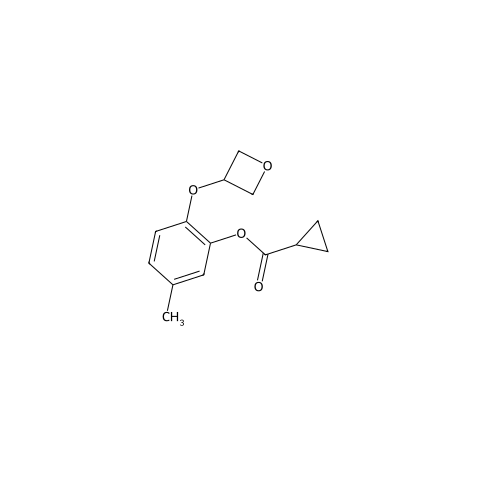 Cc1ccc(OC2COC2)c(OC(=O)C2CC2)c1